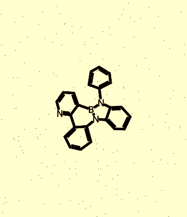 c1ccc(N2B3c4cccnc4-c4ccccc4N3c3ccccc32)cc1